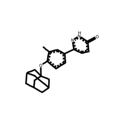 Cc1cc(-c2ccc(=O)[nH]n2)ccc1OC12CC3CC(CC(C3)C1)C2